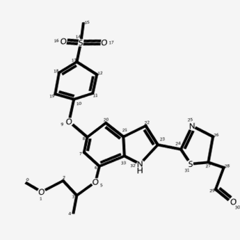 COCC(C)Oc1cc(Oc2ccc(S(C)(=O)=O)cc2)cc2cc(C3=NCC(CC=O)S3)[nH]c12